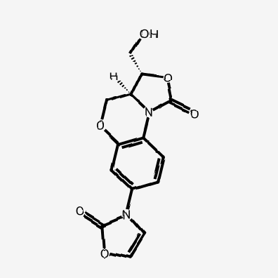 O=C1O[C@@H](CO)[C@@H]2COc3cc(-n4ccoc4=O)ccc3N12